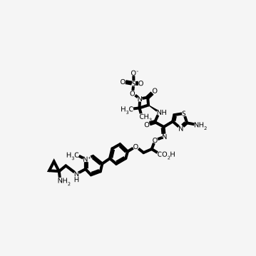 C[n+]1cc(-c2ccc(OCC(O/N=C(\C(=O)N[C@@H]3C(=O)N(OS(=O)(=O)[O-])C3(C)C)c3csc(N)n3)C(=O)O)cc2)ccc1NCC1(N)CC1